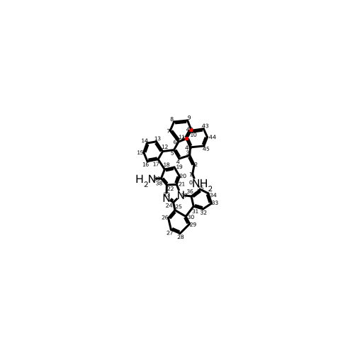 NC/C=C(\C=C(c1ccccc1)c1ccccc1-c1ccc2c(nc3c4ccccc4c4ccccc4n23)c1N)c1ccccc1